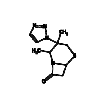 CC1N2C(=O)CC2SCC1(C)n1ccnn1